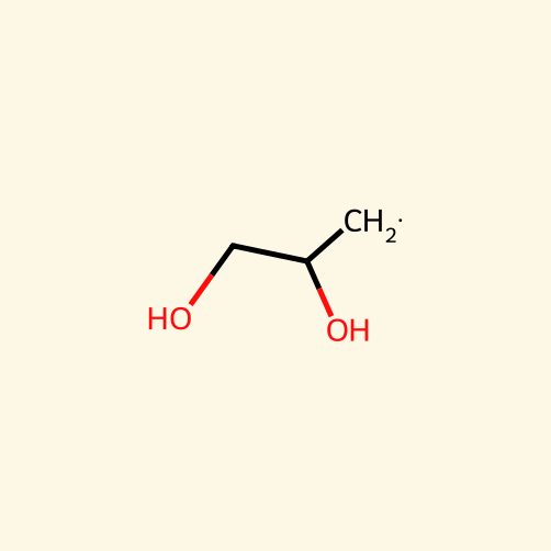 [CH2]C(O)CO